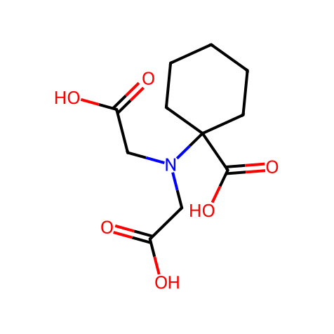 O=C(O)CN(CC(=O)O)C1(C(=O)O)CCCCC1